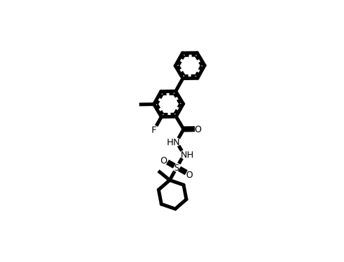 Cc1cc(-c2ccccc2)cc(C(=O)NNS(=O)(=O)C2(C)CCCCC2)c1F